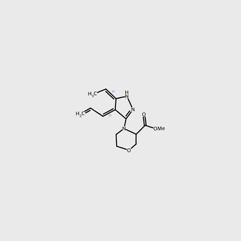 C=C/C=c1/c(N2CCOCC2C(=O)OC)n[nH]/c1=C/C